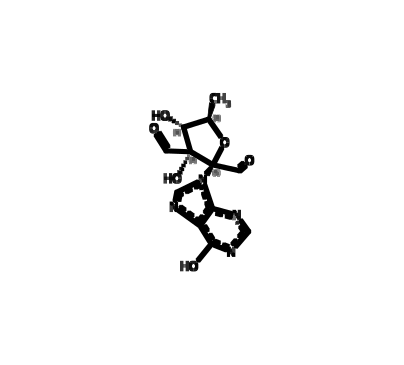 C[C@H]1O[C@@](C=O)(n2cnc3c(O)ncnc32)[C@@](O)(C=O)[C@@H]1O